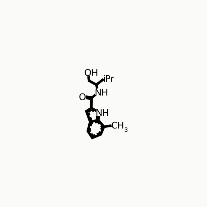 Cc1cccc2cc(C(=O)NC(CO)C(C)C)[nH]c12